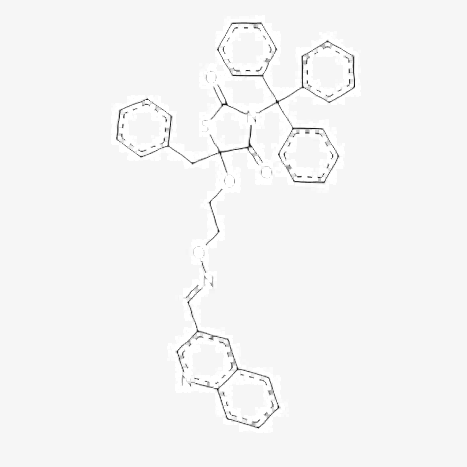 O=C1SC(Cc2ccccc2)(OCCON=Cc2cnc3ccccc3c2)C(=O)N1C(c1ccccc1)(c1ccccc1)c1ccccc1